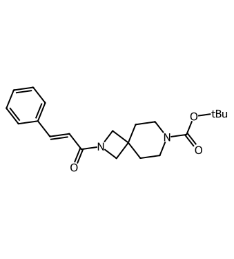 CC(C)(C)OC(=O)N1CCC2(CC1)CN(C(=O)C=Cc1ccccc1)C2